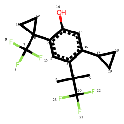 CC(C)(c1cc(C2(C(F)(F)F)CC2)c(O)cc1C1CC1)C(F)(F)F